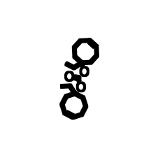 CCC1(OC(=O)OC2(CC)CCC=CCCC2)CCC=CCCC1